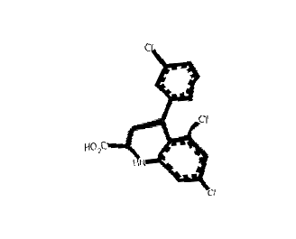 O=C(O)C1CC(c2cccc(Cl)c2)c2c(Cl)cc(Cl)cc2N1